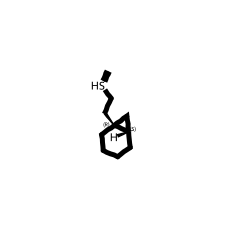 C=[SH]CC[C@]12CCCC[C@H]1C2